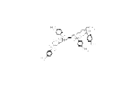 CCN(CCCN(C/C=C/CN(CCCN(CC)S(=O)(=O)c1ccc(C)cc1)S(=O)(=O)c1ccc(C)cc1)S(=O)(=O)c1ccc(C)cc1)S(=O)(=O)c1ccc(C)cc1